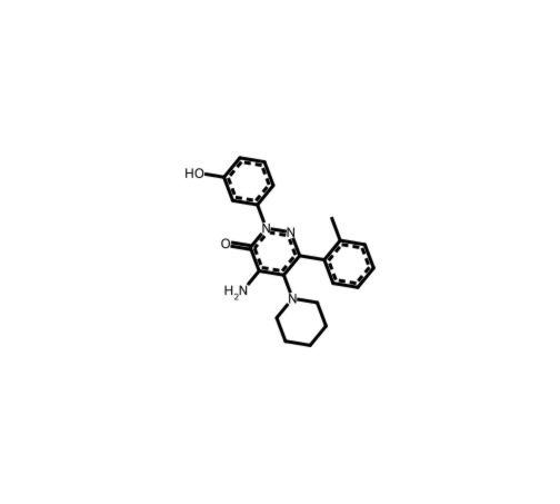 Cc1ccccc1-c1nn(-c2cccc(O)c2)c(=O)c(N)c1N1CCCCC1